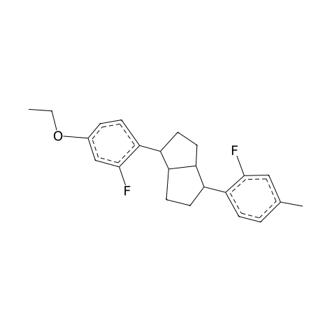 CCOc1ccc(C2CCC3C(c4ccc(C)cc4F)CCC23)c(F)c1